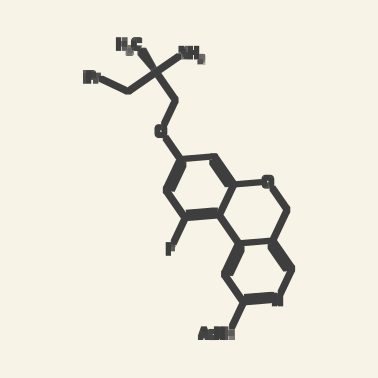 CC(=O)Nc1cc2c(cn1)COc1cc(OC[C@@](C)(N)CC(C)C)cc(F)c1-2